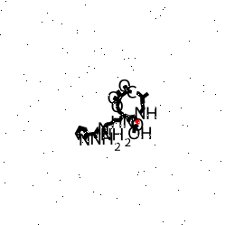 C/C1=C\CNC(C)C(NC(=O)O)C(CCCCN(N)/C=C(\N)c2ccccn2)COC(=O)C(C)C(=O)CC1